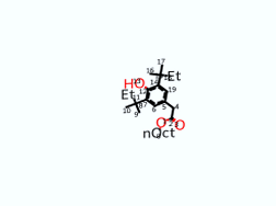 CCCCCCCCOC(=O)Cc1cc(C(C)(C)CC)c(O)c(C(C)(C)CC)c1